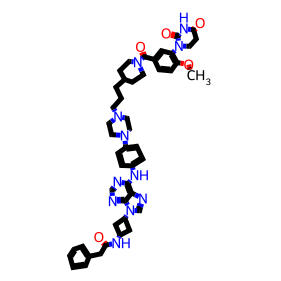 COc1ccc(C(=O)N2CCC(CCCN3CCN(c4ccc(Nc5ncnc6c5ncn6C5CC(NC(=O)Cc6ccccc6)C5)cc4)CC3)CC2)cc1N1CCC(=O)NC1=O